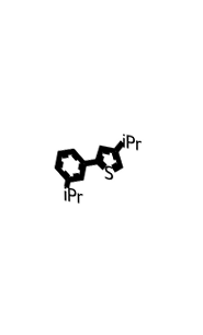 CC(C)c1cccc(-c2cc(C(C)C)cs2)c1